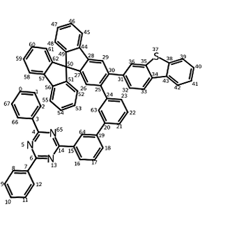 c1ccc(-c2nc(-c3ccccc3)nc(-c3cccc(-c4cccc(-c5cc6c(cc5-c5ccc7c(c5)sc5ccccc57)-c5ccccc5C65c6ccccc6-c6ccccc65)c4)c3)n2)cc1